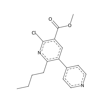 CCCCc1nc(Cl)c(C(=O)OC)cc1-c1ccncc1